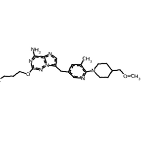 CCCCOc1nc(N)c2ncc(Cc3cnc(N4CCC(COC)CC4)c(C)c3)n2n1